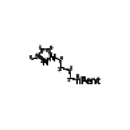 CCCCCCCCCn1ccc(C)n1